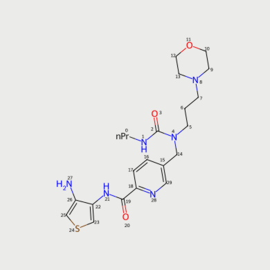 CCCNC(=O)N(CCCN1CCOCC1)Cc1ccc(C(=O)Nc2cscc2N)nc1